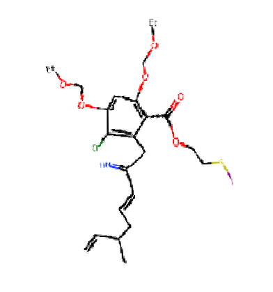 C=CC(C)C/C=C/C(=N)Cc1c(Cl)c(OCOCC)cc(OCOCC)c1C(=O)OCCSI